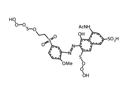 COc1ccc(S(=O)(=O)CCOSOOO)cc1/N=N/c1c(SOOO)cc2cc(S(=O)(=O)O)cc(NC(C)=O)c2c1O